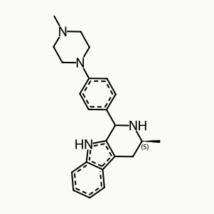 C[C@H]1Cc2c([nH]c3ccccc23)C(c2ccc(N3CCN(C)CC3)cc2)N1